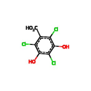 O=C(O)c1c(Cl)c(O)c(Cl)c(O)c1Cl